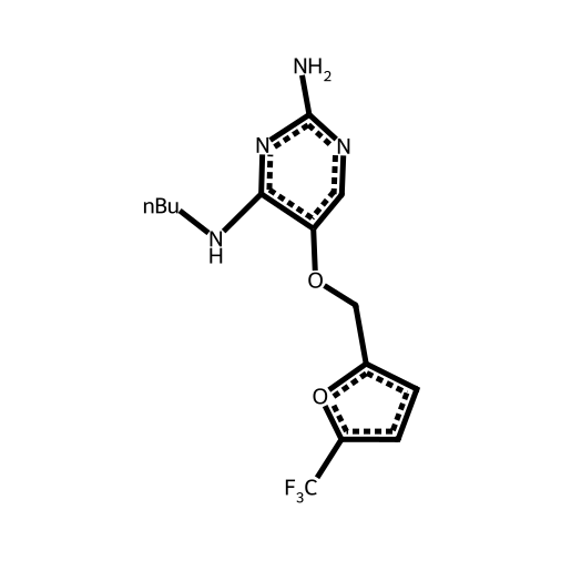 CCCCNc1nc(N)ncc1OCc1ccc(C(F)(F)F)o1